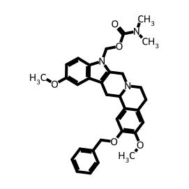 COc1ccc2c(c1)c1c(n2COC(=O)N(C)C)CN2CCc3cc(OC)c(OCc4ccccc4)cc3C2C1